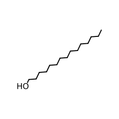 CCCCCCCCCCCCCCCO